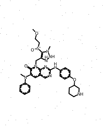 COCC[S+]([O-])C1=C(Cn2c(=O)c(N(C)c3ccccc3)cc3cnc(Nc4ccc(OC5CCCNC5)cc4)nc32)NNN1C